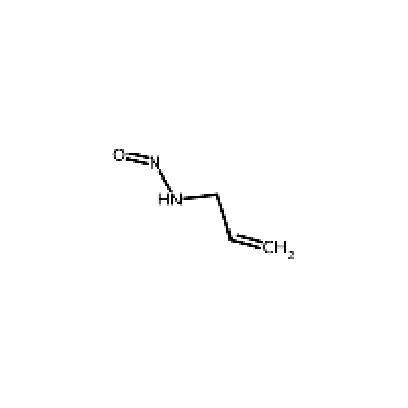 C=CCNN=O